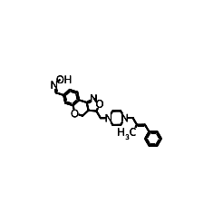 C/C(=C\c1ccccc1)CN1CCN(CC2ON=C3c4ccc(/C=N\O)cc4OCC32)CC1